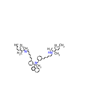 C#C\C=C/C(C)=C(C)/C(C)=N/C=C\C=C\C=C\C1=CCC=CC(C(C)(/N=C/C2=CCC=CC(/C=C/C=C/C=C\NC(C)/C(C)=C(C)/C=C\C=C)=C2)c2cccc3c2C=CC=CC3)=C1